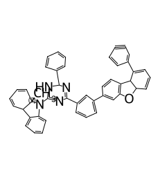 C[C@]12C=CC=CC1c1ccccc1N2C1=NC(c2cccc(-c3ccc4c(c3)OC3C=CC=C(c5cc#ccc5)C43)c2)=NC(c2ccccc2)N1